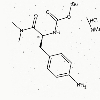 CN(C)C(=O)[C@H](Cc1ccc(N)cc1)NC(=O)OC(C)(C)C.CNC.Cl